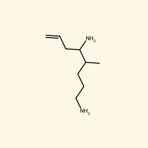 C=CCC(N)C(C)CCCN